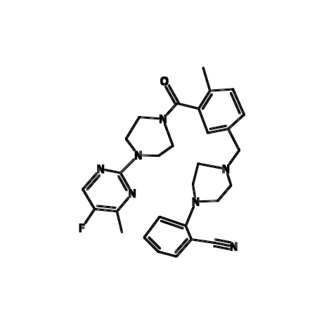 Cc1ccc(CN2CCN(c3ccccc3C#N)CC2)cc1C(=O)N1CCN(c2ncc(F)c(C)n2)CC1